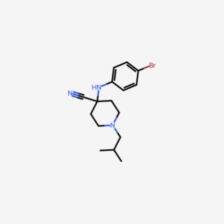 C[C](C)CN1CCC(C#N)(Nc2ccc(Br)cc2)CC1